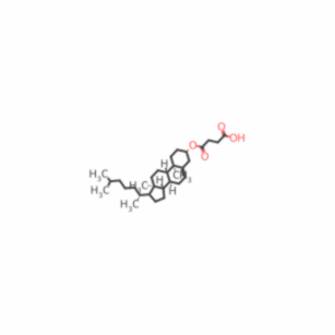 CC(C)CCC[C@@H](C)C1CC[C@H]2[C@@H]3CC=C4C[C@@H](OC(=O)CCC(=O)O)CC[C@]4(C)[C@H]3CC[C@]12C